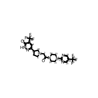 O=C(CN1CCC(c2cc(C(F)(F)F)c(=O)[nH]n2)C1)N1CCN(c2ncc(C(F)(F)F)cn2)CC1